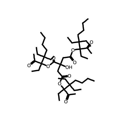 CCCCC(CC)(CC)C(CC)(OC(=O)CC(O)(CC(=O)OC(CC)(C(C)=O)C(CC)(CC)CCCC)C(=O)OC(CC)(C(C)=O)C(CC)(CC)CCCC)C(C)=O